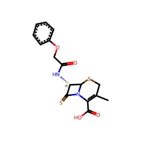 CC1=C(C(=O)O)N2C(=S)[C@H](NC(=O)COc3ccccc3)C2SC1